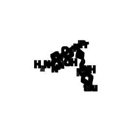 CC(C)N(C[C@@H]1C[C@@H](O)[C@H](n2ccc3c(N)ncnc32)O1)[C@H]1C[C@H](CCc2nc3cc(C(C)(C)C)ccc3[nH]2)C1